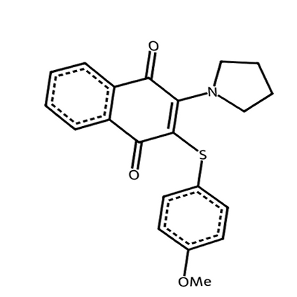 COc1ccc(SC2=C(N3CCCC3)C(=O)c3ccccc3C2=O)cc1